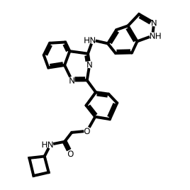 O=C(COc1cccc(-c2nc(Nc3ccc4[nH]ncc4c3)c3ccccc3n2)c1)NC1CCC1